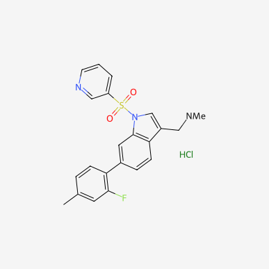 CNCc1cn(S(=O)(=O)c2cccnc2)c2cc(-c3ccc(C)cc3F)ccc12.Cl